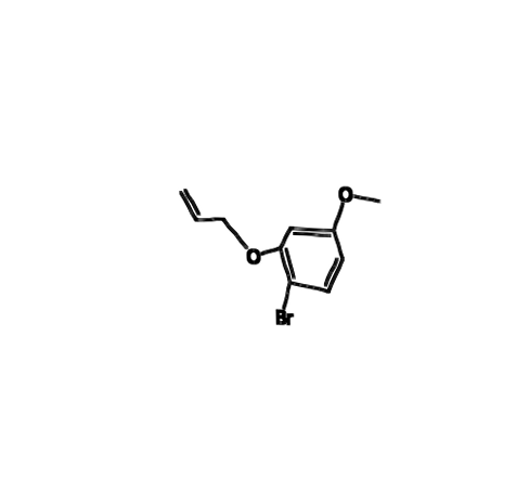 C=CCOc1cc(OC)ccc1Br